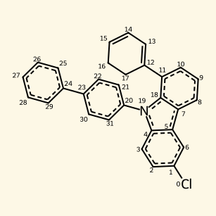 Clc1ccc2c(c1)c1cccc(C3=CC=CCC3)c1n2-c1ccc(-c2ccccc2)cc1